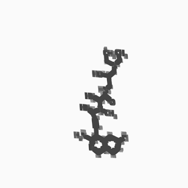 CCN(CC)CC(O)CNC(=O)C(=N)N(C)C(=N)C#Cc1c(N)ncc2ccc(Cl)cc12